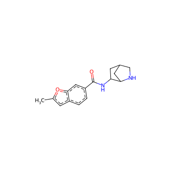 Cc1cc2ccc(C(=O)NC3CC4CNC3C4)cc2o1